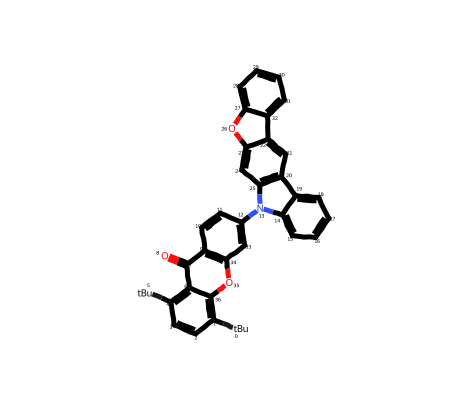 CC(C)(C)c1ccc(C(C)(C)C)c2c(=O)c3ccc(-n4c5ccccc5c5cc6c(cc54)oc4ccccc46)cc3oc12